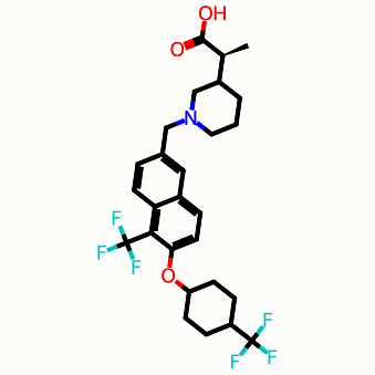 C[C@H](C(=O)O)C1CCCN(Cc2ccc3c(C(F)(F)F)c(OC4CCC(C(F)(F)F)CC4)ccc3c2)C1